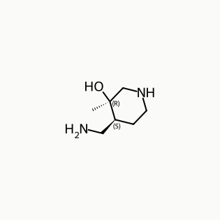 C[C@]1(O)CNCC[C@H]1CN